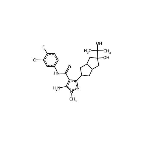 Cn1nc(C2CC3CC(O)(C(C)(C)O)CC3C2)c(C(=O)Nc2ccc(F)c(Cl)c2)c1N